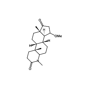 COC1CC(=O)[C@@]2(C)CC[C@@H]3[C@@H](CCC4N(C)C(=O)CC[C@@]43C)[C@H]12